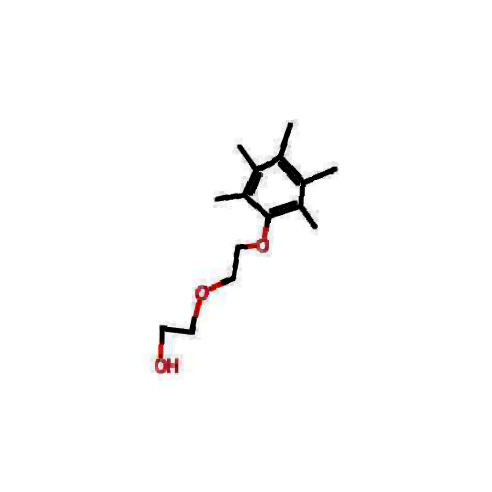 Cc1c(C)c(C)c(OCCOCCO)c(C)c1C